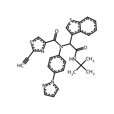 C#Cc1nc(C(=O)N(c2ccc(-n3cccn3)cc2)C(C(=O)NC(C)(C)C)c2csc3ccccc23)cs1